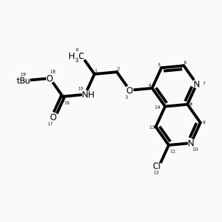 CC(COc1ccnc2cnc(Cl)cc12)NC(=O)OC(C)(C)C